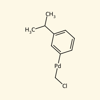 CC(C)c1ccc[c]([Pd][CH2]Cl)c1